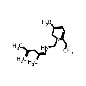 BC1=CC=C(CC)N(CN/C=C(/C)CC(=C)C)C1